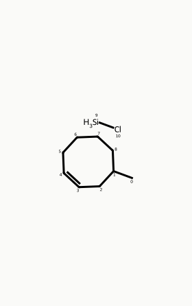 CC1CC=CCCCC1.[SiH3]Cl